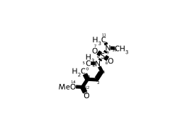 C=C(/C=C\N(C)S(=O)(=O)N(C)C)C(=O)OC